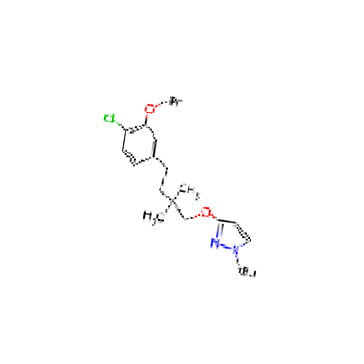 CC(C)Oc1cc(CCC(C)(C)COc2ccn(C(C)(C)C)n2)ccc1Cl